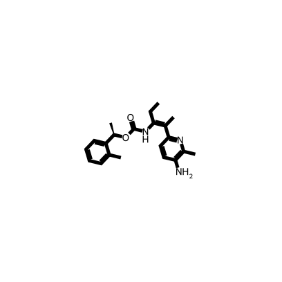 CC/C(NC(=O)O[C@H](C)c1ccccc1C)=C(\C)c1ccc(N)c(C)n1